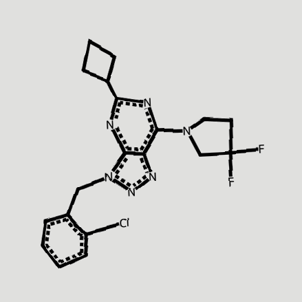 FC1(F)CCN(c2nc(C3CCC3)nc3c2nnn3Cc2ccccc2Cl)C1